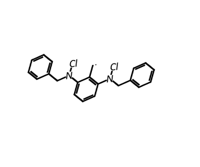 [CH2]c1c(N(Cl)Cc2ccccc2)cccc1N(Cl)Cc1ccccc1